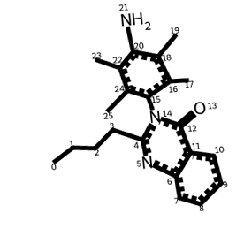 CCCCc1nc2ccccc2c(=O)n1-c1c(C)c(C)c(N)c(C)c1C